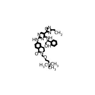 C=Cc1noc(-c2cnc(Nc3ccc4c(c3)CCN(COCC[Si](C)(C)C)C4=O)nc2N[C@H](CO)c2ccccc2)n1